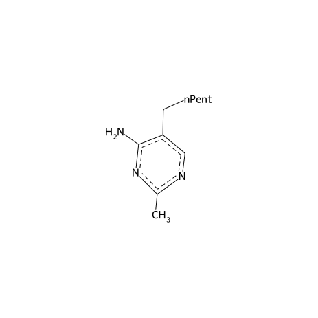 CCCCCCc1cnc(C)nc1N